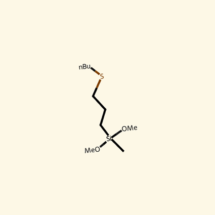 CCCCSCCC[Si](C)(OC)OC